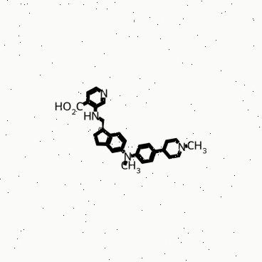 CN1CCC(c2ccc(N(C)c3ccc4c(c3)CC[C@H]4CNc3cnccc3C(=O)O)cc2)CC1